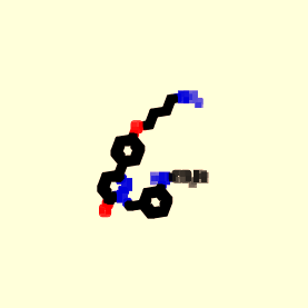 CCOC(=O)Nc1cccc(Cn2nc(-c3ccc(OCCCCN)cc3)ccc2=O)c1